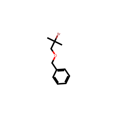 CC(C)(Br)COCc1ccccc1